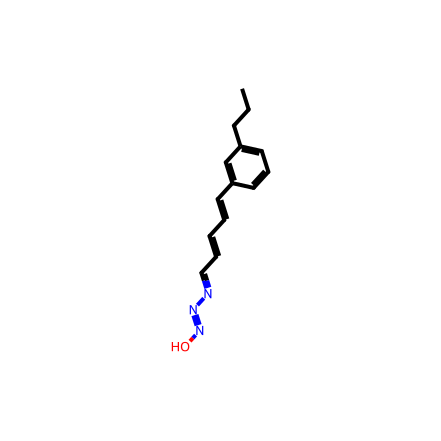 CCCc1cccc(/C=C/C=C/C=N/N=N/O)c1